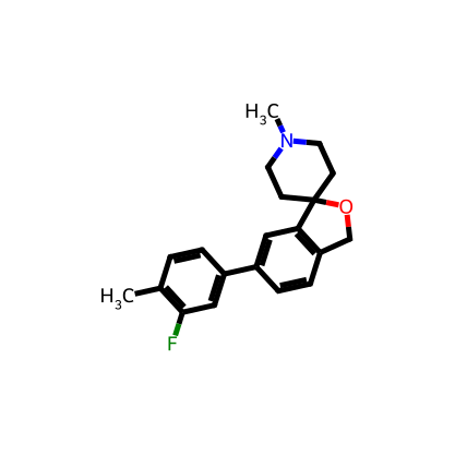 Cc1ccc(-c2ccc3c(c2)C2(CCN(C)CC2)OC3)cc1F